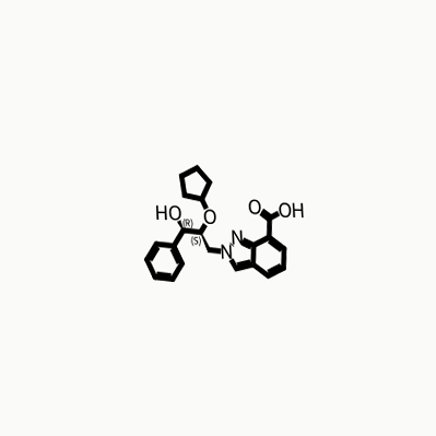 O=C(O)c1cccc2cn(C[C@H](OC3CCCC3)[C@H](O)c3ccccc3)nc12